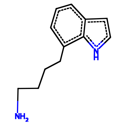 NCCCCc1cccc2cc[nH]c12